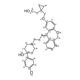 O=C(O)CC1(COc2ccc3c(c2)/C(=C/CCN2CCC(O)(c4ccc(Cl)cc4)CC2)c2cccnc2CO3)CC1